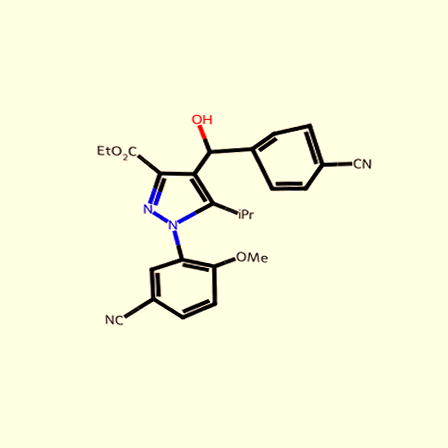 CCOC(=O)c1nn(-c2cc(C#N)ccc2OC)c(C(C)C)c1C(O)c1ccc(C#N)cc1